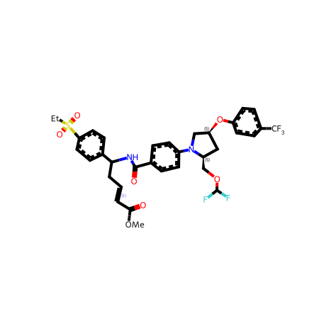 CCS(=O)(=O)c1ccc(C(C/C=C/C(=O)OC)NC(=O)c2ccc(N3C[C@@H](Oc4ccc(C(F)(F)F)cc4)C[C@H]3COC(F)F)cc2)cc1